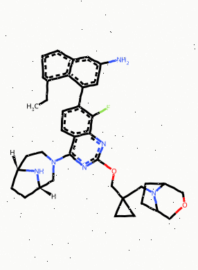 CCc1cccc2cc(N)cc(-c3ccc4c(N5CC[C@H]6CC[C@@H](C5)N6)nc(OCC5(CN6C7CCC6COC7)CC5)nc4c3F)c12